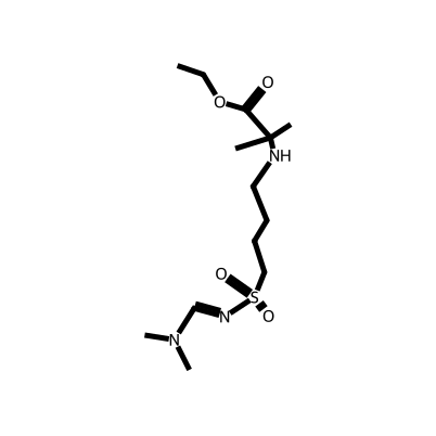 CCOC(=O)C(C)(C)NCCCCS(=O)(=O)/N=C/N(C)C